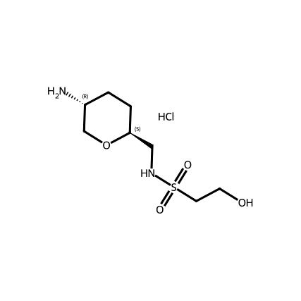 Cl.N[C@@H]1CC[C@@H](CNS(=O)(=O)CCO)OC1